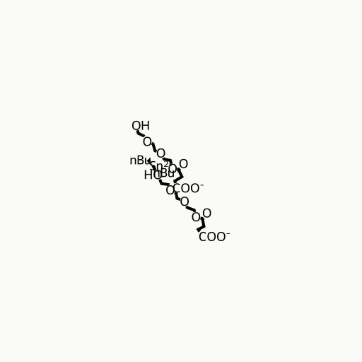 CCC[CH2][Sn+2][CH2]CCC.O=C([O-])CCC(=O)OCCOCCOCCO.O=C([O-])CCC(=O)OCCOCCOCCO